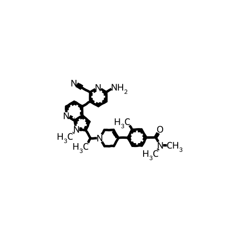 Cc1cc(C(=O)N(C)C)ccc1C1=CCN(C(C)c2cc3c(-c4ccc(N)nc4C#N)ccnc3n2C)CC1